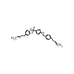 C/C=C/CCc1ccc(COc2ccc(C(F)(F)Oc3ccc(CC/C=C/C)cc3)cc2)cc1